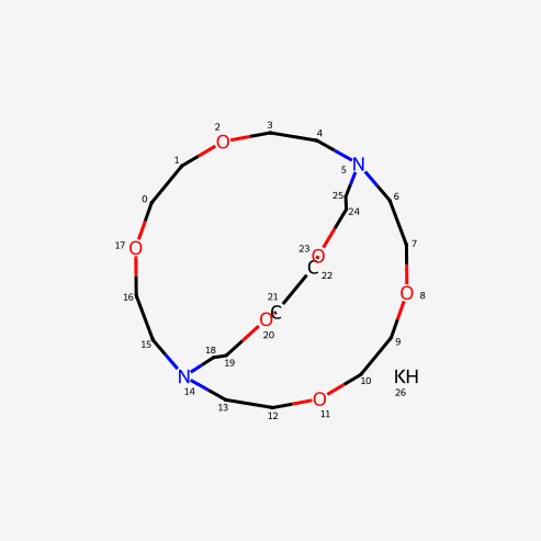 C1COCCN2CCOCCOCCN(CCO1)CCOCCOCC2.[KH]